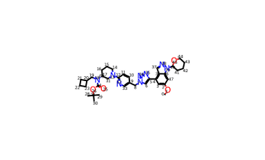 COc1cc(-c2cn(Cc3ccc(N4CCC[C@@H](N(CC5CCC5)C(=O)OC(C)(C)C)C4)nc3)nn2)c2cnn(C3CCCCO3)c2c1